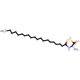 C[C@H](NC(=O)CCCCCCCCCCCCCCCCCCC(=O)O)C(=O)S